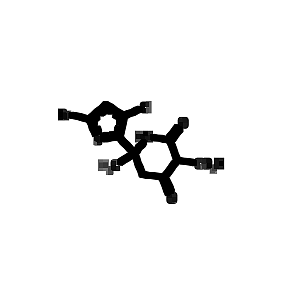 CC1(c2sc(Br)cc2Cl)CC(=O)C(C(=O)O)C(=O)N1